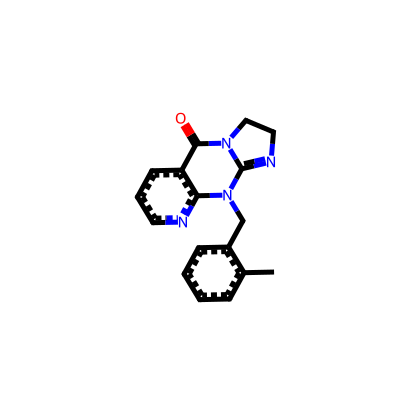 Cc1ccccc1CN1C2=NCCN2C(=O)c2cccnc21